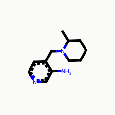 CC1CCCCN1Cc1ccncc1N